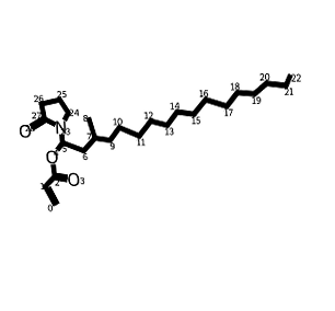 C=CC(=O)OC(CC(C)CCCCCCCCCCCCCC)N1CCCC1=O